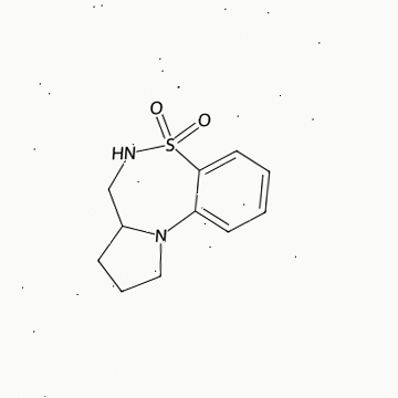 O=S1(=O)NCC2CCCN2c2ccccc21